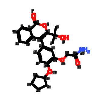 CC(C)(O)c1oc(=O)c2ccccc2c1-c1ccc(OC2CCCC2)c(OCC(N)=O)c1